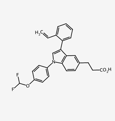 C=Cc1ccccc1-c1cn(-c2ccc(OC(F)F)cc2)c2ccc(CCC(=O)O)cc12